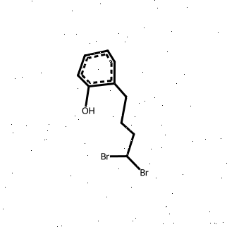 Oc1ccccc1CCCC(Br)Br